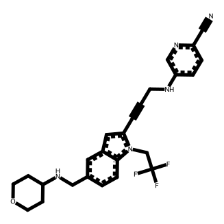 N#Cc1ccc(NCC#Cc2cc3cc(CNC4CCOCC4)ccc3n2CC(F)(F)F)cn1